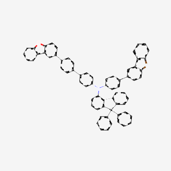 c1ccc(C2(c3ccccc3)c3ccccc3-c3c(N(c4ccc(-c5ccc(-c6ccc7oc8ccccc8c7c6)cc5)cc4)c4ccc(-c5ccc6sc7ccccc7c6c5)cc4)cccc32)cc1